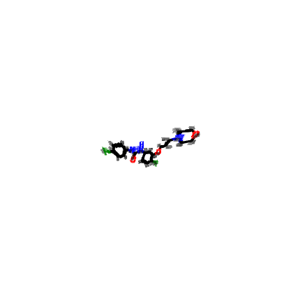 O=C(Nc1ccc(F)cc1)Nc1ccc(F)c(OCCCN2CCOCC2)c1